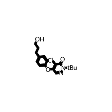 CC(C)(C)n1ncc(Oc2ccc(CCCO)cc2)c(Cl)c1=O